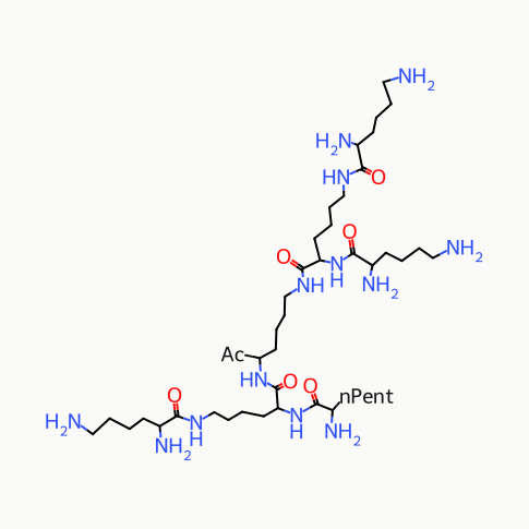 CCCCCC(N)C(=O)NC(CCCCNC(=O)C(N)CCCCN)C(=O)NC(CCCCNC(=O)C(CCCCNC(=O)C(N)CCCCN)NC(=O)C(N)CCCCN)C(C)=O